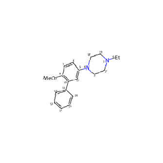 CCN1CCN(c2ccc(OC)c(-c3ccccc3)c2)CC1